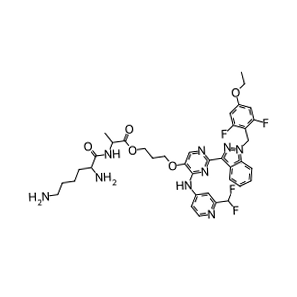 CCOc1cc(F)c(Cn2nc(-c3ncc(OCCCOC(=O)C(C)NC(=O)C(N)CCCCN)c(Nc4ccnc(C(F)F)c4)n3)c3ccccc32)c(F)c1